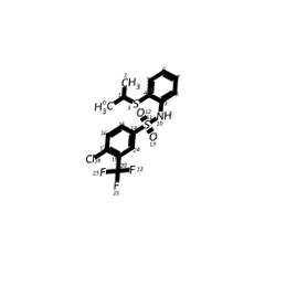 CC(C)Sc1ccccc1NS(=O)(=O)c1ccc(Cl)c(C(F)(F)F)c1